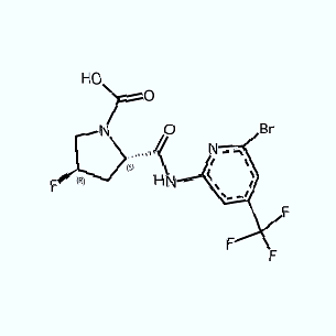 O=C(Nc1cc(C(F)(F)F)cc(Br)n1)[C@@H]1C[C@@H](F)CN1C(=O)O